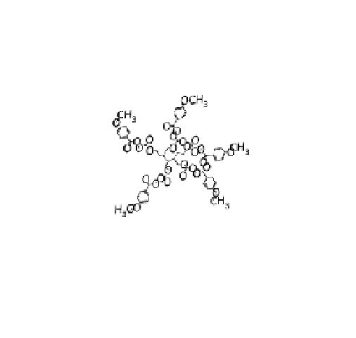 COc1ccc(C(=O)OOC(=O)OCCC(COC(=O)OOC(=O)c2ccc(OC)cc2)C(COC(=O)OOC(=O)c2ccc(OC)cc2)C(CCOC(=O)OOC(=O)c2ccc(OC)cc2)COC(=O)OOC(=O)c2ccc(OC)cc2)cc1